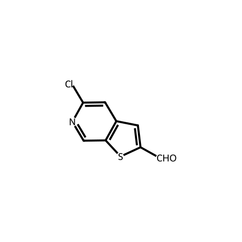 O=Cc1cc2cc(Cl)ncc2s1